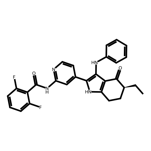 CC[C@H]1CCc2[nH]c(-c3ccnc(NC(=O)c4c(F)cccc4F)c3)c(Nc3ccccc3)c2C1=O